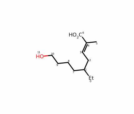 CCC(CC=C(C)C(=O)O)CCCCO